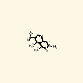 Cc1c(B(O)O)ccc2nc(N)nc(N)c12